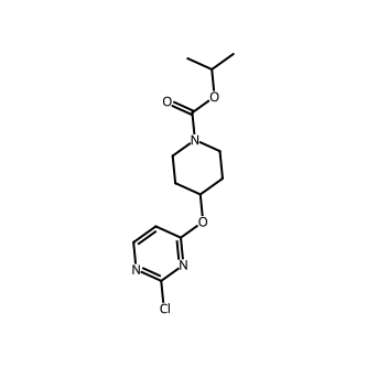 CC(C)OC(=O)N1CCC(Oc2ccnc(Cl)n2)CC1